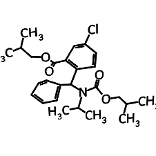 CC(C)COC(=O)c1cc(Cl)ccc1C(c1ccccc1)N(C(=O)OCC(C)C)C(C)C